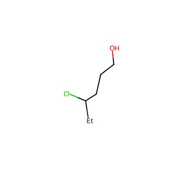 CCC(Cl)CCCO